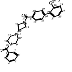 O=C(c1ccccc1)N1CCN(C2CN(C(=O)c3ccc(-c4ccccc4OC(F)(F)F)cc3)C2)CC1